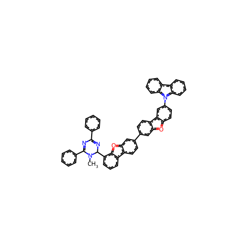 CN1C(c2ccccc2)=NC(c2ccccc2)=NC1c1cccc2c1oc1cc(-c3ccc4c(c3)oc3ccc(-n5c6ccccc6c6ccccc65)cc34)ccc12